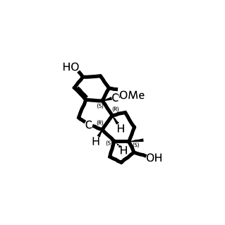 COC[C@@]12C(=CC(O)CC1C)CC[C@@H]1[C@H]2CC[C@]2(C)C(O)CC[C@@H]12